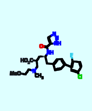 COCCN(C)C[C@H](C[C@@H](Cc1ccc(-c2cc(Cl)ccc2F)cc1)NC(=O)c1cnn[nH]1)C(=O)O